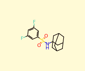 O=S(=O)(NC12CC3CC(CC(C3)C1)C2)c1cc(F)cc(F)c1